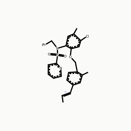 C/C=C/c1ccc(COc2cc(Cl)c(C)cc2N(CC(C)C)S(=O)(=O)c2ccccn2)c(C)c1